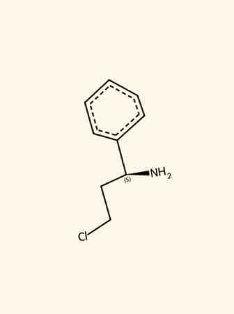 N[C@@H](CCCl)c1ccccc1